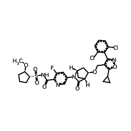 CO[C@@H]1CCC[C@H]1S(=O)(=O)NC(=O)c1ncc(N2C(=O)[C@@H]3C[C@H]2C[C@H]3OCc2c(-c3c(Cl)cccc3Cl)noc2C2CC2)cc1F